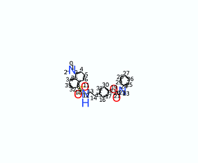 CN(C)c1cccc2c(S(=O)(=O)NCCc3ccc(OC(=O)N(C)c4ccccc4)cc3)cccc12